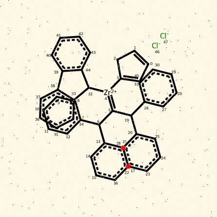 C1=CC[C]([Zr+2](=[C](C(c2ccccc2)c2ccccc2)C(c2ccccc2)c2ccccc2)[CH]2c3ccccc3-c3ccccc32)=C1.[Cl-].[Cl-]